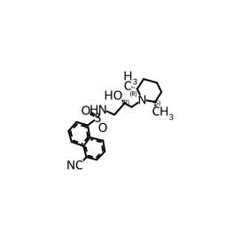 C[C@@H]1CCC[C@H](C)N1C[C@@H](O)CNS(=O)(=O)c1cccc2c(C#N)cccc12